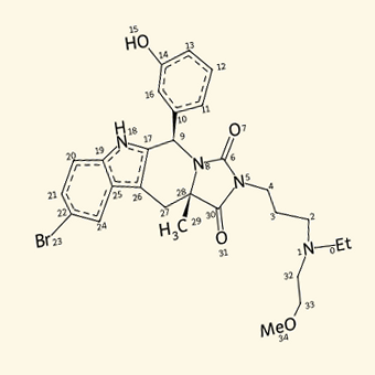 CCN(CCCN1C(=O)N2[C@H](c3cccc(O)c3)c3[nH]c4ccc(Br)cc4c3C[C@@]2(C)C1=O)CCOC